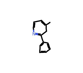 CC1=CC=CN=C(c2ccccc2)C1